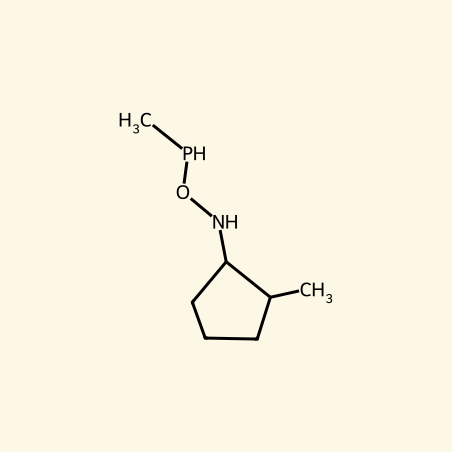 CPONC1CCCC1C